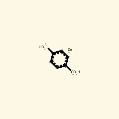 O=C(O)c1ccc(C(=O)O)cc1.[Ce]